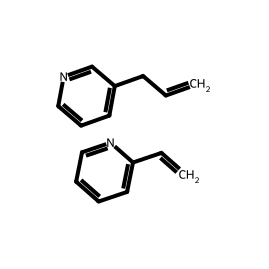 C=CCc1cccnc1.C=Cc1ccccn1